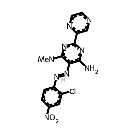 CNc1nc(-c2cnccn2)nc(N)c1/N=N/c1ccc([N+](=O)[O-])cc1Cl